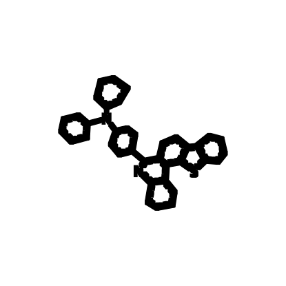 c1ccc(N(c2ccccc2)c2ccc(-c3nc4ccccc4c4c3ccc3c5ccccc5sc34)cc2)cc1